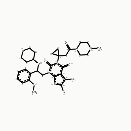 COc1ccccc1C(Cn1c(=O)n(C2(CC(=O)N3CCN(C)CC3)CC2)c(=O)c2c(C)c(Br)sc21)OC1CCOCC1